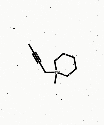 C[N+]1(CC#CI)CCCCC1